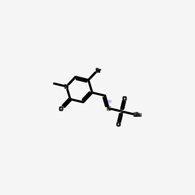 Cn1cc(Br)c(/C=N/S(=O)(=O)C(C)(C)C)cc1=O